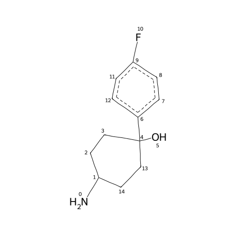 NC1CCC(O)(c2ccc(F)cc2)CC1